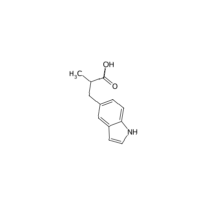 CC(Cc1ccc2[nH]ccc2c1)C(=O)O